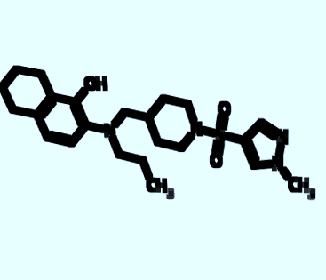 CCCN(CC1CCN(S(=O)(=O)c2cnn(C)c2)CC1)c1ccc2c(c1O)CCCC2